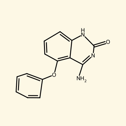 Nc1nc(=O)[nH]c2cccc(Oc3ccccc3)c12